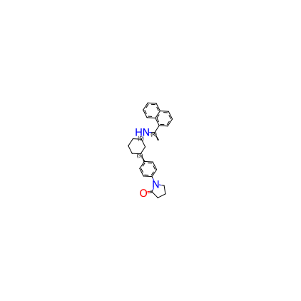 C[C@@H](N[C@H]1CCC[C@H](c2ccc(N3CCCC3=O)cc2)C1)c1cccc2ccccc12